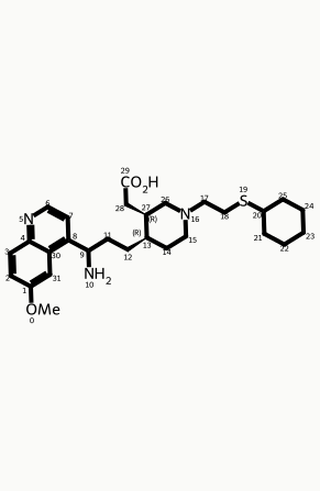 COc1ccc2nccc(C(N)CC[C@@H]3CCN(CCSC4CCCCC4)C[C@@H]3CC(=O)O)c2c1